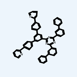 c1ccc(-c2cccc(-c3nc(-c4cccc(-c5ccccc5)c4)nc(-c4cc(-c5ccc(-c6ccccn6)cc5)cc(-c5ccc(-c6ccccn6)cc5)c4)n3)c2)cc1